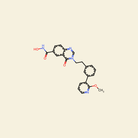 COc1ncccc1-c1cccc(CCn2cnc3ccc(C(=O)NO)cc3c2=O)c1